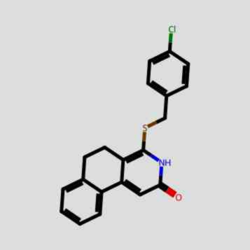 O=c1cc2c(c(SCc3ccc(Cl)cc3)[nH]1)CCc1ccccc1-2